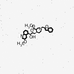 COC(=O)C1CN(Cc2cc3ccccc3o2)CC[C@H]1CC[C@@H](O)c1cccc2ncc(OC)cc12